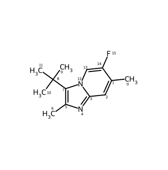 Cc1cc2nc(C)c(C(C)(C)C)n2cc1F